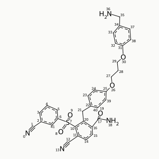 N#Cc1cccc(S(=O)(=O)c2c(C#N)ccc(C(N)=O)c2Cc2ccc(OCCCOc3ccc(CN)cc3)cc2)c1